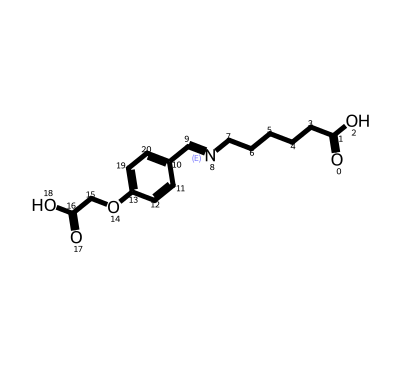 O=C(O)CCCCC/N=C/c1ccc(OCC(=O)O)cc1